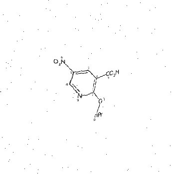 CCCOc1ncc([N+](=O)[O-])cc1C(=O)O